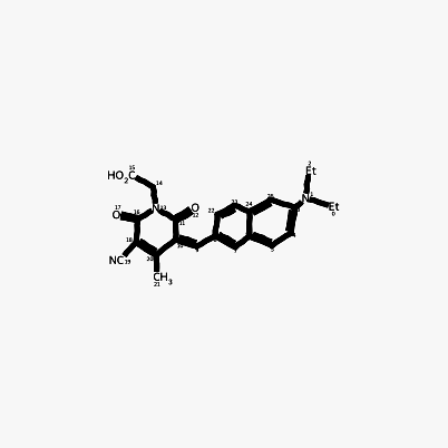 CCN(CC)c1ccc2cc(/C=C3\C(=O)N(CC(=O)O)C(=O)C(C#N)=C3C)ccc2c1